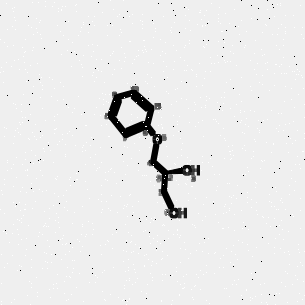 OC[C@H](O)COc1c[c]ccc1